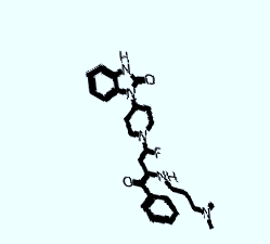 CN(C)CCCNC(CC(F)N1CCC(n2c(=O)[nH]c3ccccc32)CC1)C(=O)c1ccccc1